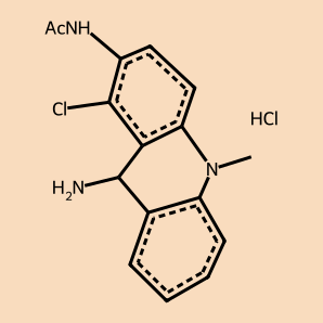 CC(=O)Nc1ccc2c(c1Cl)C(N)c1ccccc1N2C.Cl